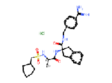 CC(C)[C@@H](NS(=O)(=O)CC1CCCCC1)C(=O)NC1(C(=O)NCc2ccc(C(=N)N)cc2)Cc2ccccc2C1.Cl